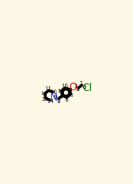 ClCCOc1ccc(CN2CCCCC2)cc1